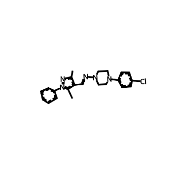 Cc1nn(-c2ccccc2)c(C)c1/C=N/N1CCN(c2ccc(Cl)cc2)CC1